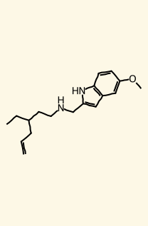 C=CCC(CC)CCNCc1cc2cc(OC)ccc2[nH]1